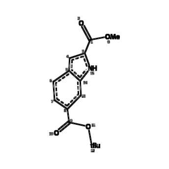 COC(=O)c1cc2ccc(C(=O)OC(C)(C)C)cc2[nH]1